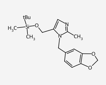 Cc1ncc(CO[Si](C)(C)C(C)(C)C)n1Cc1ccc2c(c1)OCO2